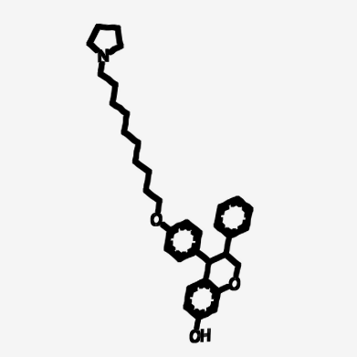 Oc1ccc2c(c1)OCC(c1ccccc1)C2c1ccc(OCCCCCCCCCCN2CCCC2)cc1